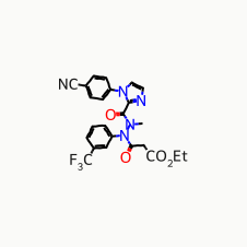 CCOC(=O)CC(=O)N(c1cccc(C(F)(F)F)c1)N(C)C(=O)c1nccn1-c1ccc(C#N)cc1